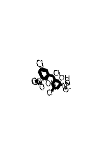 O=[N+]([O-])c1cc(Cl)cc(C(Cl)c2cc(Cl)cc([N+](=O)[O-])c2O)c1O